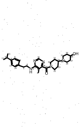 Cc1c(NCCc2ccc(C(C)C)cc2)ncnc1C(=O)N1CCC(N2CCC(O)CC2)CC1